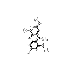 COC(=O)/C=C(\C(=O)OC)N(C)c1ccc(F)cc1OC